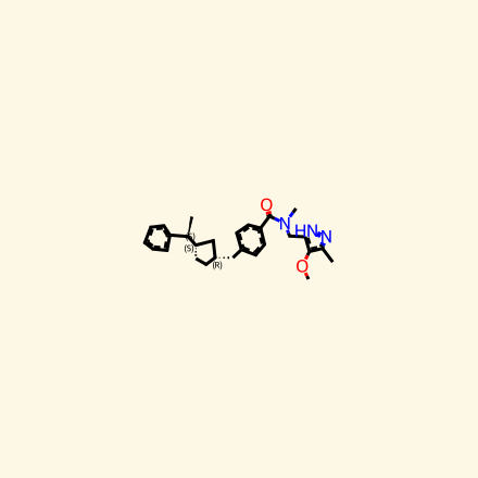 COc1c(C)n[nH]c1CN(C)C(=O)c1ccc(C[C@@H]2CC[C@H]([C@H](C)c3ccccc3)C2)cc1